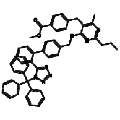 CCCc1nc(C)c(Cc2ccc(C(=O)OC)cc2)c(OCc2ccc(-c3ccccc3-c3nnnn3C(c3ccccc3)(c3ccccc3)c3ccccc3)cc2)n1